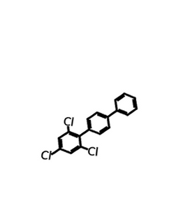 Clc1cc(Cl)c(-c2ccc(-c3ccccc3)cc2)c(Cl)c1